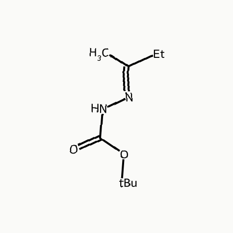 CCC(C)=NNC(=O)OC(C)(C)C